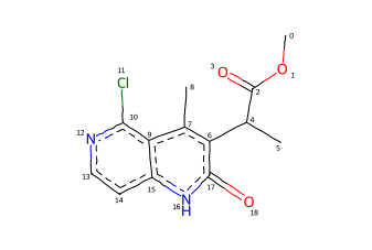 COC(=O)C(C)c1c(C)c2c(Cl)nccc2[nH]c1=O